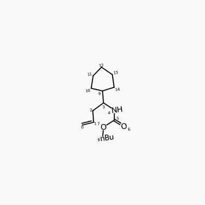 C=CCC(NC(=O)OCCCC)C1CCCCC1